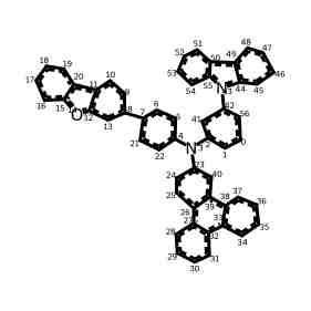 c1cc(N(c2ccc(-c3ccc4c(c3)oc3ccccc34)cc2)c2ccc3c4ccccc4c4ccccc4c3c2)cc(-n2c3ccccc3c3ccccc32)c1